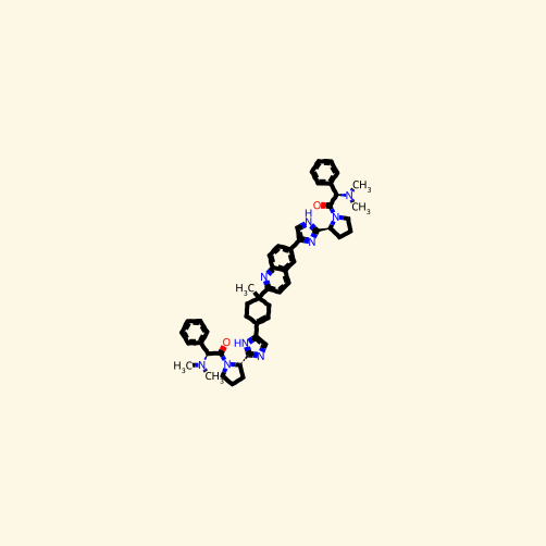 CN(C)[C@@H](C(=O)N1CCC[C@H]1c1nc(-c2ccc3nc(C4(C)CC=C(c5cnc([C@@H]6CCCN6C(=O)[C@@H](c6ccccc6)N(C)C)[nH]5)CC4)ccc3c2)c[nH]1)c1ccccc1